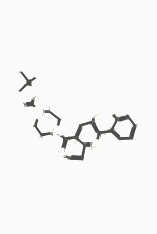 CC(C)(C)OC(=O)N1CCN(c2nccc3nc(-c4ccccc4F)c(Cl)cc23)CC1